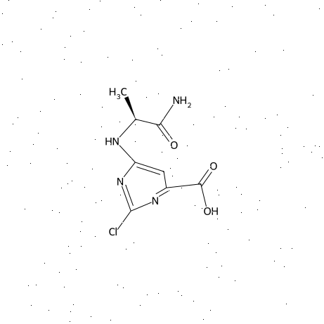 C[C@H](Nc1cc(C(=O)O)nc(Cl)n1)C(N)=O